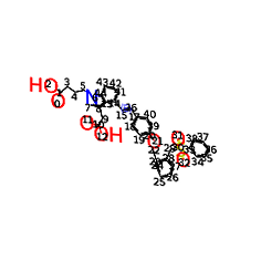 O=C(O)CCCn1cc(CC(=O)O)c2c(/C=C/c3ccc(OCc4ccccc4CS(=O)(=O)c4ccccc4)cc3)cccc21